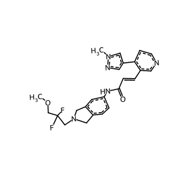 COCC(F)(F)CN1Cc2ccc(NC(=O)C=Cc3cnccc3-c3cnn(C)c3)cc2C1